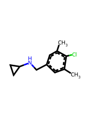 Cc1cc(CNC2CC2)cc(C)c1Cl